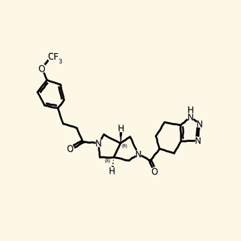 O=C(CCc1ccc(OC(F)(F)F)cc1)N1C[C@@H]2CN(C(=O)C3CCc4[nH]nnc4C3)C[C@H]2C1